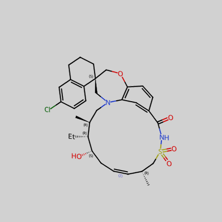 CC[C@@H]1[C@@H](C)CN2C[C@@]3(CCCc4cc(Cl)ccc43)COc3ccc(cc32)C(=O)NS(=O)(=O)C[C@H](C)/C=C\C[C@@H]1O